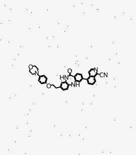 N#Cc1nccc2c(-c3ccc4c(c3)Nc3ccc(CCOc5ccc(N6CCOCC6)cc5)cc3NC4=O)cccc12